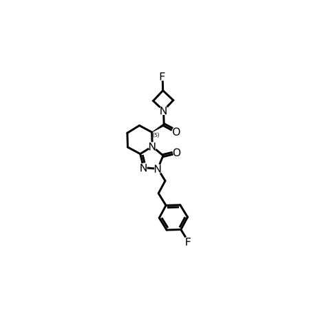 O=C([C@@H]1CCCc2nn(CCc3ccc(F)cc3)c(=O)n21)N1CC(F)C1